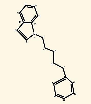 [c]1cn(CCCCCc2ccccc2)c2ccccc12